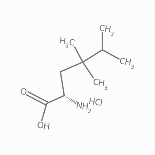 CC(C)C(C)(C)C[C@H](N)C(=O)O.Cl